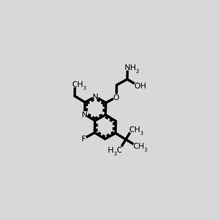 CCc1nc(OCC(N)O)c2cc(C(C)(C)C)cc(F)c2n1